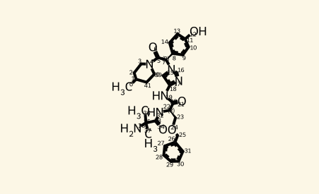 CC1CCN(C(=O)[C@@H](c2ccc(O)cc2)n2cnc(NC(=O)[C@@H](COCc3ccccc3)NC(=O)C(C)(C)N)c2)CC1